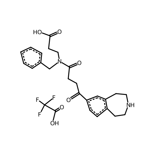 O=C(O)C(F)(F)F.O=C(O)CCN(Cc1ccccc1)C(=O)CCC(=O)c1ccc2c(c1)CCNCC2